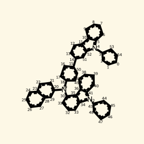 c1ccc(-n2c3ccccc3c3ccc(-c4ccc(N(c5ccc6ccccc6c5)c5cccc6c5c5ccccc5n6-c5ccccc5)cc4)cc32)cc1